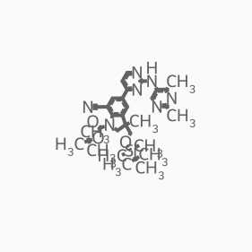 Cc1ncc(Nc2nccc(-c3cc(C#N)c4c(c3)C(C)(CO[Si](C)(C)C(C)(C)C)CN4C(=O)OC(C)(C)C)n2)c(C)n1